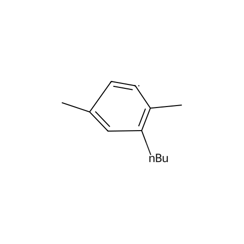 CCCCc1cc(C)c[c]c1C